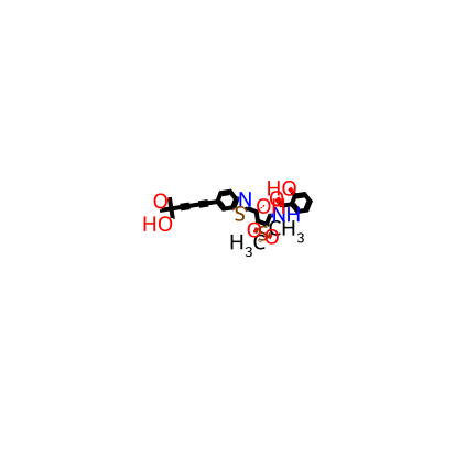 C[C@](CNC(=O)c1ccccc1O)(C[C@@H](O)c1nc2ccc(C#CC#CC3(CO)COC3)cc2s1)S(C)(=O)=O